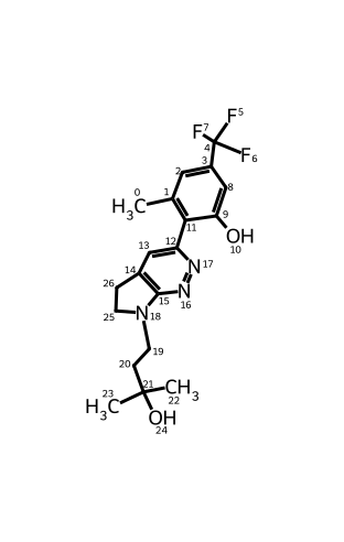 Cc1cc(C(F)(F)F)cc(O)c1-c1cc2c(nn1)N(CCC(C)(C)O)CC2